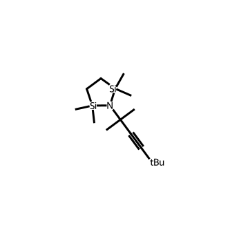 CC(C)(C)C#CC(C)(C)N1[Si](C)(C)CC[Si]1(C)C